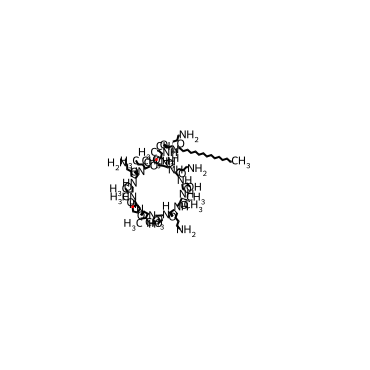 CCCCCCCCCCCCCCC(=O)N[C@@H](CCCN)C(=O)N[C@H](C(=O)N[C@@H]1C(=O)N[C@@H](CCCN)C(=O)N[C@@H](CO)C(=O)N[C@@H](C(C)C)C(=O)N[C@@H](CCCCN)C(=O)N[C@@H](CO)C(=O)N[C@@H]([C@@H](C)CC)C(=O)N2CCC[C@H]2C(=O)N[C@@H](C(C)C)C(=O)N[C@@H](CCCCN)C(=O)N[C@@H]([C@@H](C)CC)C(=O)O[C@@H]1C)C(C)C